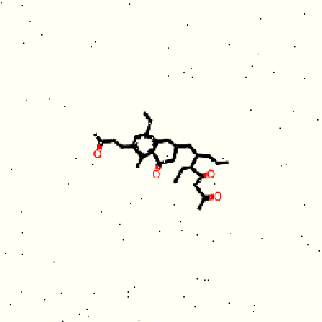 CCCC(CC1CC(=O)c2c(C)c(CCC(C)=O)cc(CC)c2C1)C(CC)C(=O)CC(C)=O